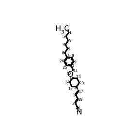 CCCCCCCc1ccc(CO[C@H]2CC[C@H](C=CC=CC#N)CC2)cc1